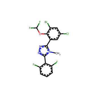 Cn1c(-c2cc(Cl)cc(Br)c2OC(F)F)nnc1-c1c(F)cccc1F